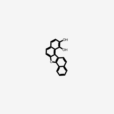 Oc1ccc2ccc3oc4c5ccccc5ccc4c3c2c1O